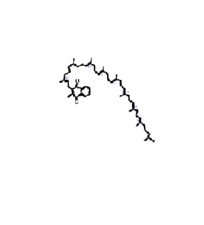 CC(C)=CCC/C(C)=C/CC/C(C)=C/CC/C(C)=C/CC/C(C)=C/CC/C(C)=C/CC/C(C)=C/CCC(C)CCC/C(C)=C/CC1=C(C)C(=O)c2ccccc2C1=O